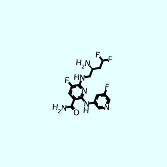 NC(=O)c1cc(F)c(NC[C@@H](N)CC(F)F)nc1Nc1cncc(F)c1